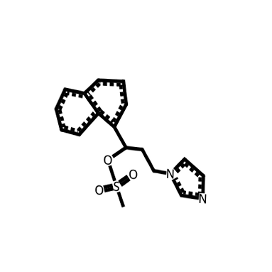 CS(=O)(=O)OC(CCn1ccnc1)c1cccc2ccccc12